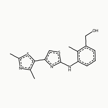 Cc1nc(C)c(-c2csc(Nc3cccc(CO)c3C)n2)s1